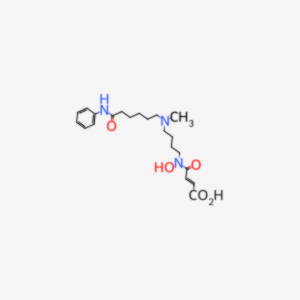 CN(CCCCCC(=O)Nc1ccccc1)CCCCN(O)C(=O)/C=C/C(=O)O